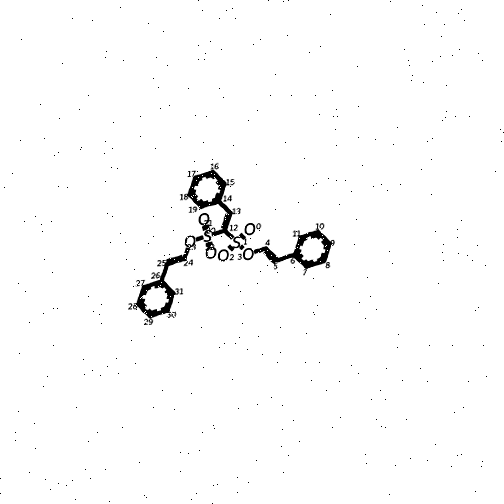 O=S(=O)(OC=Cc1ccccc1)C(=Cc1ccccc1)S(=O)(=O)OC=Cc1ccccc1